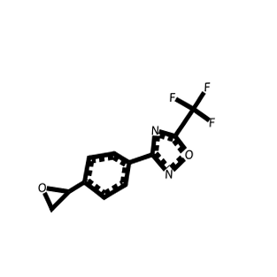 FC(F)(F)c1nc(-c2ccc(C3CO3)cc2)no1